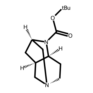 CC(C)(C)OC(=O)N1[C@@H]2C[C@@H]3C[N@@](CC[C@@H]31)C2